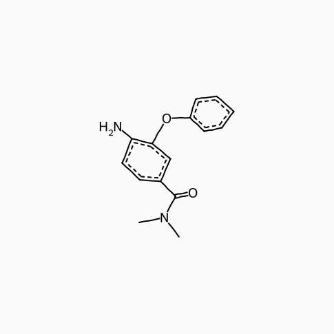 CN(C)C(=O)c1ccc(N)c(Oc2ccccc2)c1